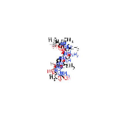 CC[C@H](C)[C@H](NC(=O)[C@H](C)NC(=O)[C@H](CO)NC(=O)[C@H](C)NC(=O)[C@@H](N)CO)C(=O)N[C@@H](CC(N)=O)C(=O)N[C@@H](Cc1ccccc1)C(=O)N[C@@H](CC(C)C)C(=O)N[C@@H](CC(C)C)C(=O)N[C@@H](CC(C)C)C(=O)O